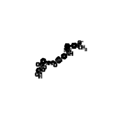 C[S+]([O-])c1ccc(-c2cccc3nc(Nc4ccc(N5CCN(C(=O)CCCNc6cccc7c6C(=O)N(C6CCC(=O)NC6=O)C7=O)CC5)cc4)nn23)cc1